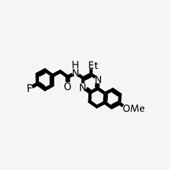 CCc1nc2c(nc1NC(=O)Cc1ccc(F)cc1)CCc1cc(OC)ccc1-2